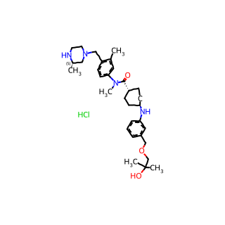 Cc1cc(N(C)C(=O)[C@H]2CC[C@H](Nc3cccc(COCC(C)(C)O)c3)CC2)ccc1CN1CCN[C@@H](C)C1.Cl